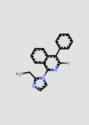 CCc1nccn1-c1nc(Cl)c(-c2ccccc2)c2ccccc12